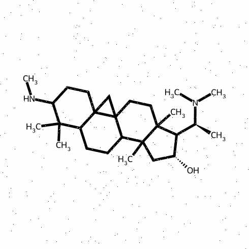 CNC1CCC23CC24CCC2(C)C([C@H](C)N(C)C)[C@H](O)CC2(C)C4CCC3C1(C)C